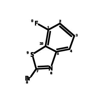 Fc1cccc2nc(Br)sc12